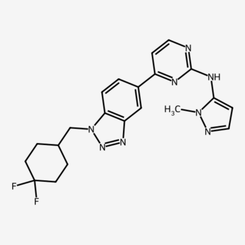 Cn1nccc1Nc1nccc(-c2ccc3c(c2)nnn3CC2CCC(F)(F)CC2)n1